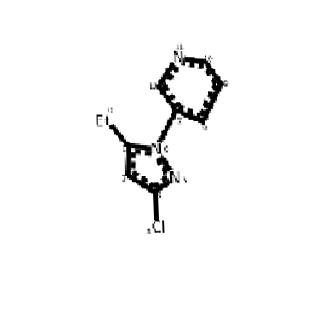 [CH2]Cc1cc(Cl)nn1-c1cccnc1